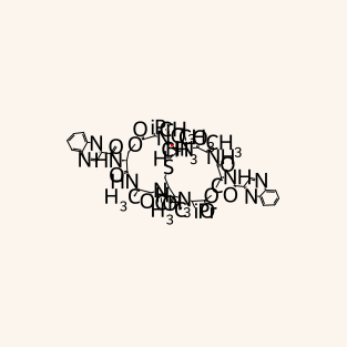 CC(C)C1C(=O)OC[C@H](NC(=O)c2cnc3ccccc3n2)C(=O)N[C@H](C)C(=O)N(C)[C@H]2C(=O)N(C)[C@H](C(C)C)C(=O)OC[C@H](NC(=O)c3cnc4ccccc4n3)C(=O)N[C@H](C)C(=O)N(C)[C@H](CS[C@@H]2C)C(=O)N1C